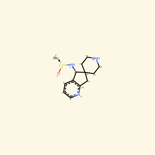 CC(C)(C)[S@+]([O-])N[C@@H]1c2cccnc2CC12CCNCC2